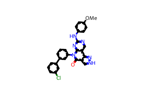 COc1ccc(Nc2ncc3c4n[nH]cc4c(=O)n(-c4cccc(-c5cccc(Cl)c5)c4)c3n2)cc1